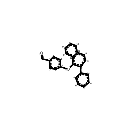 O=Cc1ccc(Oc2c(-c3ccccc3)ccc3ccccc23)cc1